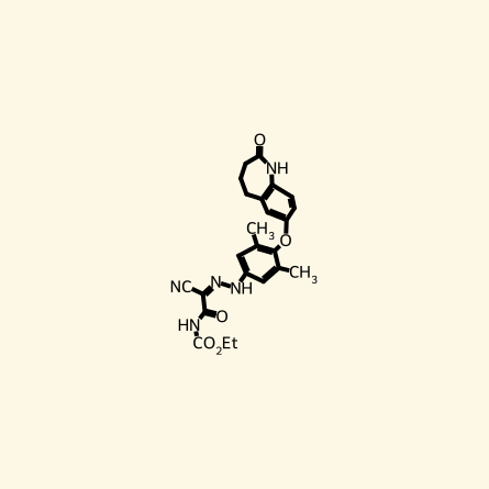 CCOC(=O)NC(=O)C(C#N)=NNc1cc(C)c(Oc2ccc3c(c2)CCCC(=O)N3)c(C)c1